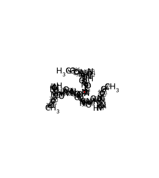 CCOC1CCC(n2cc(NC(=O)c3coc(-c4cnn(COP(=O)(OCn5cc(-c6nc(C(=O)Nc7cn(C8CCC(OCC)CC8)nc7-c7cnccn7)co6)cn5)OCn5cc(-c6nc(C(=O)Nc7cn(C8CCC(OCC)CC8)nc7-c7cnccn7)co6)cn5)c4)n3)c(-c3cnccn3)n2)CC1